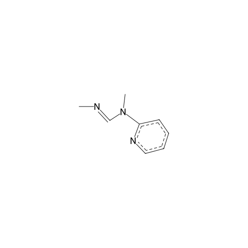 C/N=C/N(C)c1ccccn1